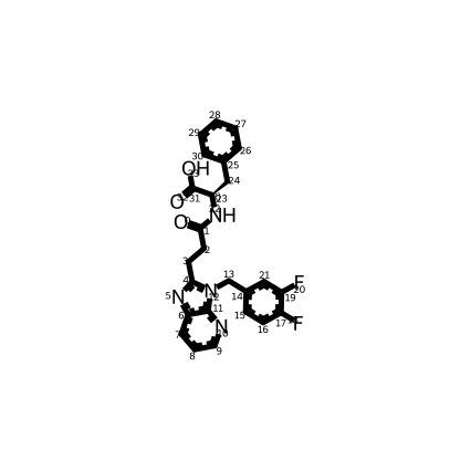 O=C(CCc1nc2cccnc2n1Cc1ccc(F)c(F)c1)N[C@H](Cc1ccccc1)C(=O)O